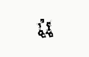 O=C(COc1ccc2c(c1)N(c1nc(-c3ccc(Cl)s3)nc3c1CCC3)CC2)N1CCC1